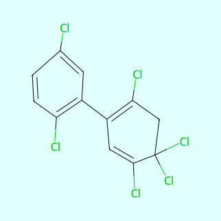 ClC1=CC(c2cc(Cl)ccc2Cl)=C(Cl)CC1(Cl)Cl